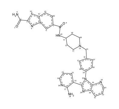 NC(=O)c1nc2cc(C(=O)NC3CCN(Cc4ccc(-n5c(-c6cccnc6N)nc6cccnc65)cc4)CC3)ccc2s1